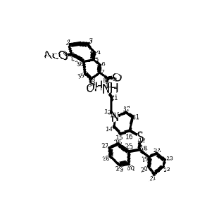 CC(=O)Oc1cccc2cc(C(=O)NCCN3CCC(SC(c4ccccc4)c4ccccc4)CC3)c(O)cc12